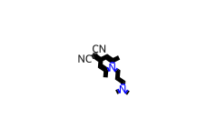 CC1=CC(=C(C#N)C#N)C=C(C)N1CCCN(C)C